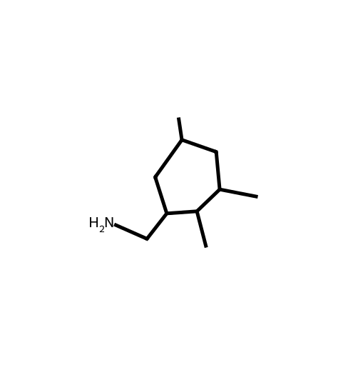 CC1CC(C)C(C)C(CN)C1